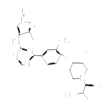 CCn1cc(Nc2ncnc(-c3ccc(O[C@H]4CCN(C(=O)C(C)O)C[C@H]4F)c(C#N)c3)n2)c(C)n1